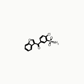 NS(=O)(=O)c1cc(C(=O)c2coc3ccccc23)ccc1Cl